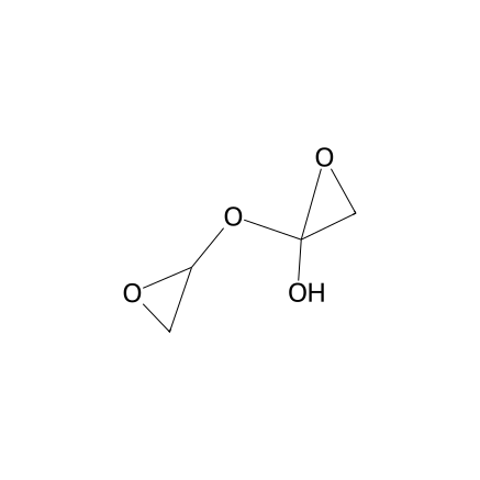 OC1(OC2CO2)CO1